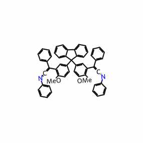 COc1ccc(C2(c3ccc(OC)c(C(=C=Nc4ccccc4)c4ccccc4)c3)c3ccccc3-c3ccccc32)cc1C(=C=Nc1ccccc1)c1ccccc1